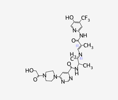 C/C(=C\N=C(/C)C(C)NC(=O)c1cc(N2CCN(C(=O)CO)CC2)ncn1)C(=O)Nc1cc(C(F)(F)F)c(O)cn1